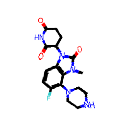 Cn1c(=O)n(C2CCC(=O)NC2=O)c2ccc(F)c(N3CCNCC3)c21